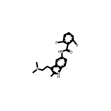 Cc1[nH]c2ccc(NC(=O)c3c(F)cccc3F)cc2c1CCN(C)C